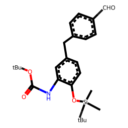 CC(C)(C)OC(=O)Nc1cc(Cc2ccc(C=O)cc2)ccc1O[Si](C)(C)C(C)(C)C